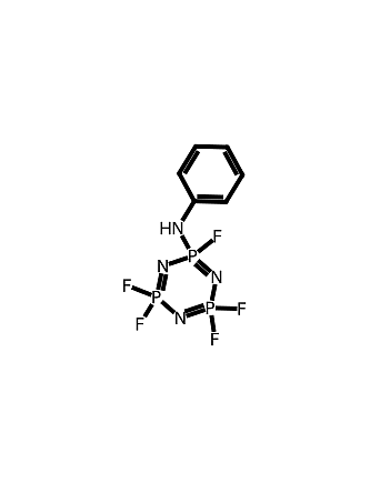 FP1(F)=NP(F)(F)=NP(F)(Nc2ccccc2)=N1